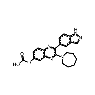 O=C(O)Oc1ccc2nc(-c3ccc4[nH]ncc4c3)c(N3CCCCCC3)nc2c1